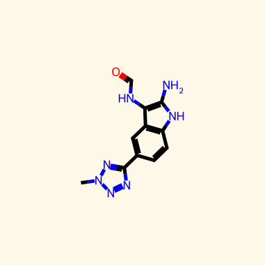 Cn1nnc(-c2ccc3[nH]c(N)c(NC=O)c3c2)n1